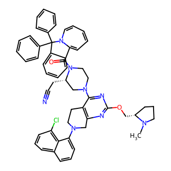 CN1CCC[C@H]1COc1nc2c(c(N3CCN(C(=O)C4=CC=CC=CN4C(c4ccccc4)(c4ccccc4)c4ccccc4)[C@@H](CC#N)C3)n1)CCN(c1cccc3cccc(Cl)c13)C2